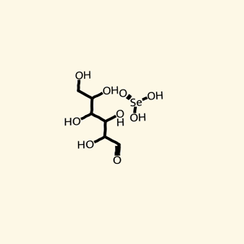 O=CC(O)C(O)C(O)C(O)CO.O=[Se](O)O